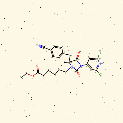 CCOC(=O)CCCCCN1C(=O)N(c2cc(Cl)nc(Cl)c2)C(=O)C1(C)Cc1ccc(C#N)cc1